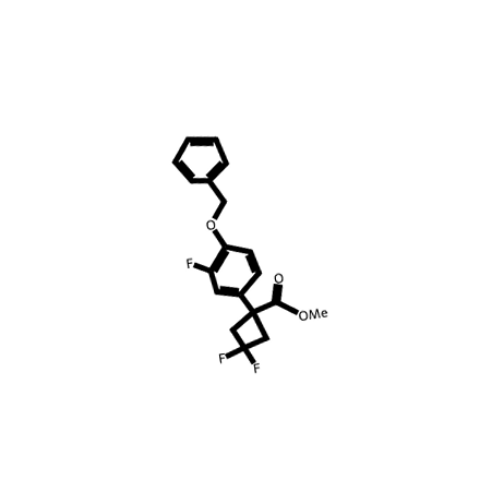 COC(=O)C1(c2ccc(OCc3ccccc3)c(F)c2)CC(F)(F)C1